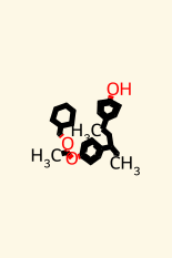 CCC(CC(C)c1ccc(O)cc1)c1ccc(OC(C)OCC2CCCCC2)cc1